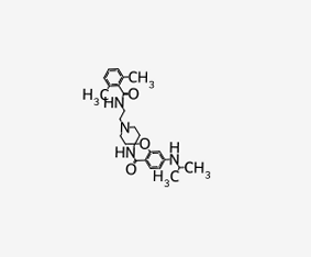 Cc1cccc(C)c1C(=O)NCCN1CCC2(CC1)NC(=O)c1ccc(NC(C)C)cc1O2